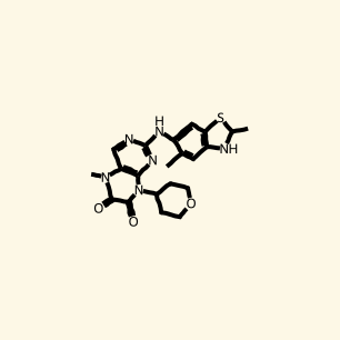 Cc1cc2c(cc1Nc1ncc3c(n1)n(C1CCOCC1)c(=O)c(=O)n3C)SC(C)N2